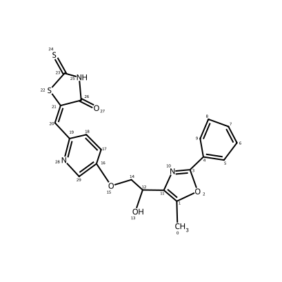 Cc1oc(-c2ccccc2)nc1C(O)COc1ccc(C=C2SC(=S)NC2=O)nc1